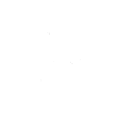 CC(=O)N1CC(C)(CCC#N)c2c(Cl)cccc21